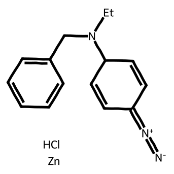 CCN(Cc1ccccc1)C1C=CC(=[N+]=[N-])C=C1.Cl.[Zn]